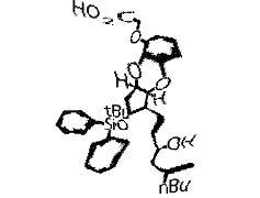 C=C(CCCC)C[C@H](O)/C=C/[C@@H]1[C@H]2Oc3cccc(OCC(=O)O)c3O[C@H]2C[C@H]1O[Si](c1ccccc1)(c1ccccc1)C(C)(C)C